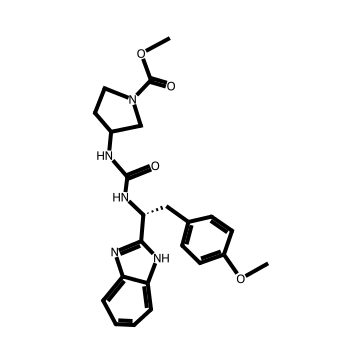 COC(=O)N1CCC(NC(=O)N[C@H](Cc2ccc(OC)cc2)c2nc3ccccc3[nH]2)C1